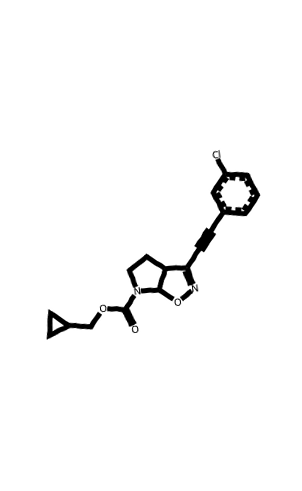 O=C(OCC1CC1)N1CCC2C(C#Cc3cccc(Cl)c3)=NOC21